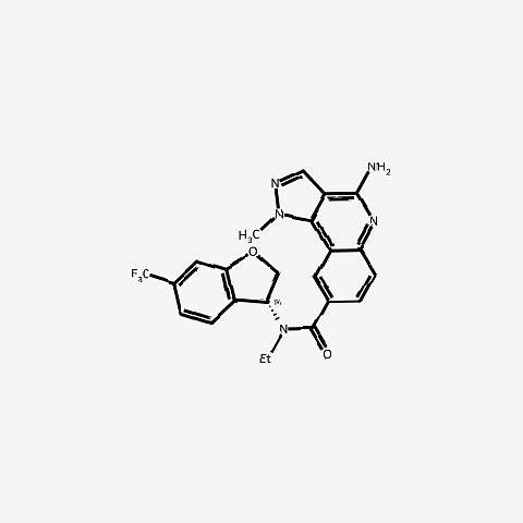 CCN(C(=O)c1ccc2nc(N)c3cnn(C)c3c2c1)[C@H]1COc2cc(C(F)(F)F)ccc21